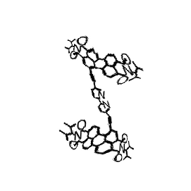 CC(C)C(C(C)C)N1C(=O)c2ccc3c4ccc5c6c(cc(C#Cc7ccc(-c8ccc(C#Cc9cc%10c%11c(ccc%12c%13ccc%14c%15c(ccc(c9c%11%12)c%15%13)C(=O)N(C(C(C)C)C(C)C)C%14=O)C(=O)N(C(C(C)C)C(C)C)C%10=O)cn8)nc7)c(c7ccc(c2c37)C1=O)c64)C(=O)N(C(C(C)C)C(C)C)C5=O